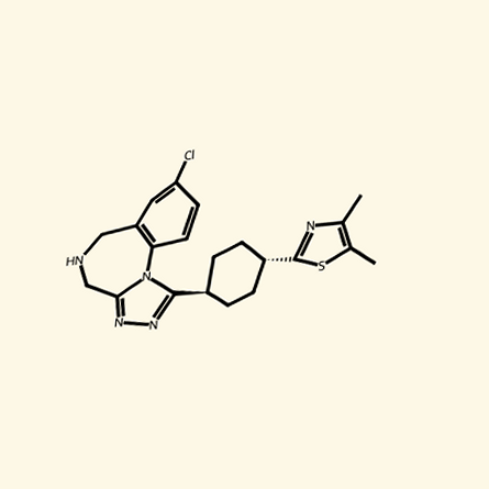 Cc1nc([C@H]2CC[C@H](c3nnc4n3-c3ccc(Cl)cc3CNC4)CC2)sc1C